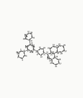 c1cncc(-c2nc(-c3ccc(-c4nc5ccccc5c5c4ccc4ccccc45)cc3)nc(-c3cccnc3)n2)c1